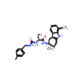 CCC(C)C(NC(=O)NCc1ccc(C)cc1)C(=O)N[C@]1(C(=O)O)CCc2[nH]c3c(C(F)(F)F)cccc3c2C1